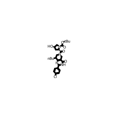 CCCCC1CN(C(=O)[C@H]2C[C@@H](O)CN2C(=O)OC(C)(C)C)Cc2c1nc(-c1ccc(Cl)cc1)[nH]c2=O